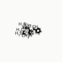 COC(OC)(OCC(C)(C)C)C(=O)c1cc(F)nn1[C@H](C)c1ccccc1